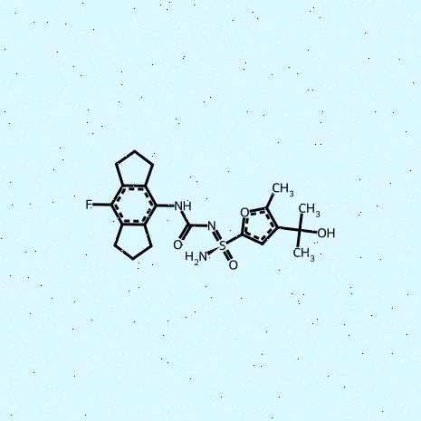 Cc1oc([S@](N)(=O)=NC(=O)Nc2c3c(c(F)c4c2CCC4)CCC3)cc1C(C)(C)O